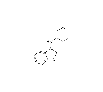 c1ccc2c(c1)SCN2NC1CCCCC1